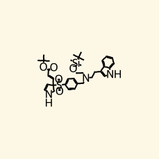 CC(C)(C)OC(=O)C=CC1(S(=O)(=O)c2ccc(CN(CCO[Si](C)(C)C(C)(C)C)CCc3c[nH]c4ccccc34)cc2)C=CNC1